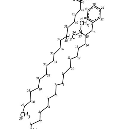 CCCCCCCCCCCCCCCC(Cc1ccccc1)N(C)C.CCCCCCCCCCCCCCCCCC(=O)O